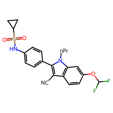 CCCn1c(-c2ccc(NS(=O)(=O)C3CC3)cc2)c(C#N)c2ccc(OC(F)F)cc21